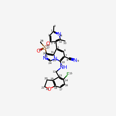 Cc1ccc(-c2cc(C#N)c(NCc3c(F)ccc4c3CCO4)n3cnc(S(C)(=O)=O)c23)c(C)n1